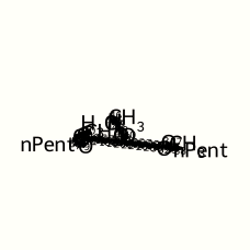 C=C=C=C=CC(CCCCC)CC(=O)OCCCCCCCCCCC(CCCCCCCCCCOC(=O)CC(C)CCCCC)C(=O)OCCCN(C)C